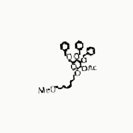 COCCC/C=C\CCCO[C@H]1OC(COCc2ccccc2)[C@H](OCc2ccccc2)[C@@H](OCc2ccccc2)C1OC(C)=O